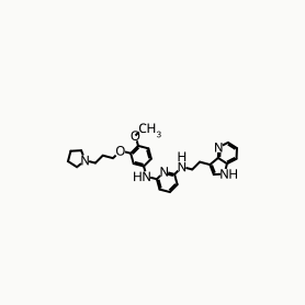 COc1ccc(Nc2cccc(NCCc3c[nH]c4cccnc34)n2)cc1OCCCN1CCCC1